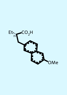 CC[C@@H](Cc1ccc2cc(OC)ccc2c1)C(=O)O